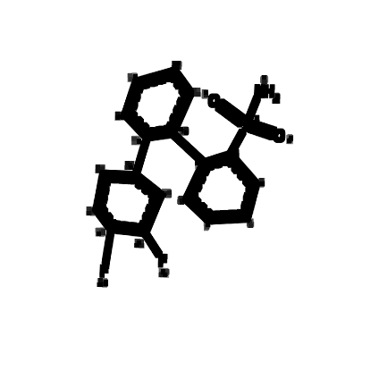 NS(=O)(=O)c1ccccc1-c1ccccc1-c1ccc(F)c(F)c1